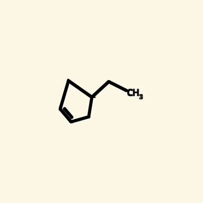 CC[C]1CC=CC1